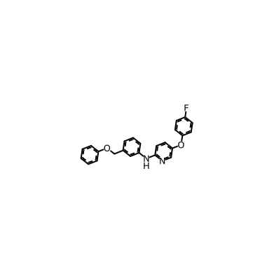 Fc1ccc(Oc2ccc(Nc3cccc(COc4ccccc4)c3)nc2)cc1